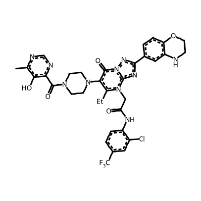 CCc1c(N2CCN(C(=O)c3ncnc(C)c3O)CC2)c(=O)n2nc(-c3ccc4c(c3)NCCO4)nc2n1CC(=O)Nc1ccc(C(F)(F)F)cc1Cl